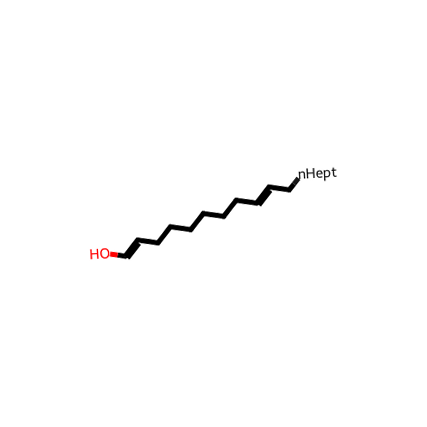 CCCCCCCCC=CCCCCCCC=CO